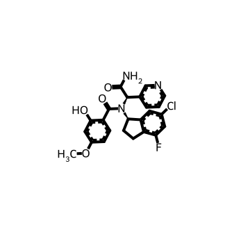 COc1ccc(C(=O)N([C@@H]2CCc3c(F)cc(Cl)cc32)[C@@H](C(N)=O)c2cccnc2)c(O)c1